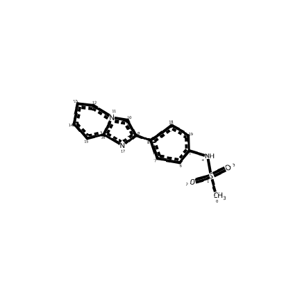 CS(=O)(=O)Nc1ccc(-c2cn3ccccc3n2)cc1